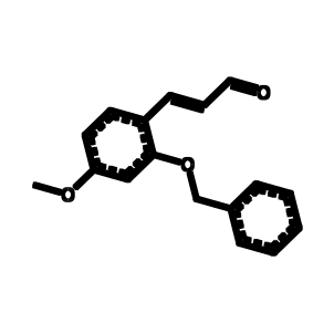 COc1ccc(/C=C/C=O)c(OCc2ccccc2)c1